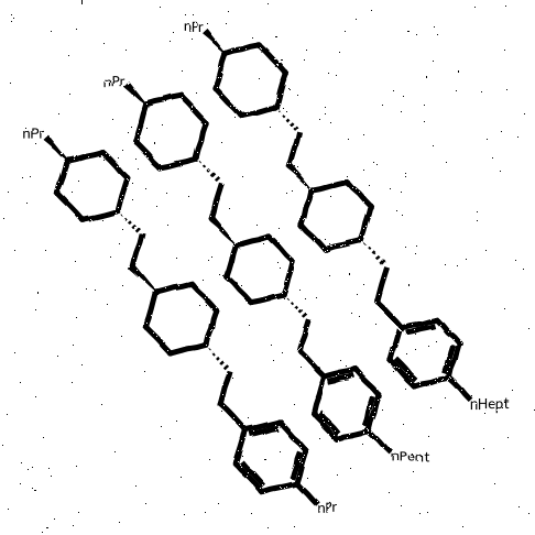 CCCCCCCc1ccc(CC[C@H]2CC[C@H](CC[C@H]3CC[C@H](CCC)CC3)CC2)cc1.CCCCCc1ccc(CC[C@H]2CC[C@H](CC[C@H]3CC[C@H](CCC)CC3)CC2)cc1.CCCc1ccc(CC[C@H]2CC[C@H](CC[C@H]3CC[C@H](CCC)CC3)CC2)cc1